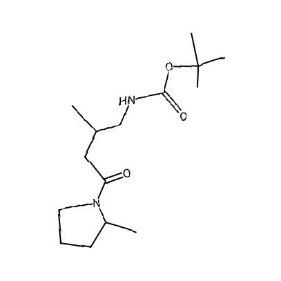 CC(CNC(=O)OC(C)(C)C)CC(=O)N1CCCC1C